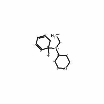 CCN(C1CCOCC1)C1(F)[CH]C=CC=C1